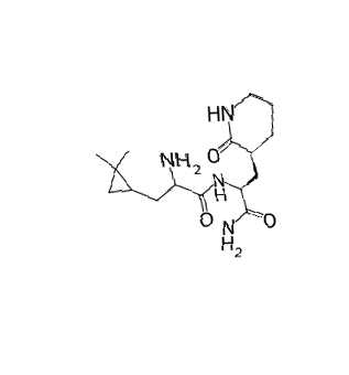 CC1(C)CC1CC(N)C(=O)N[C@@H](C[C@@H]1CCCNC1=O)C(N)=O